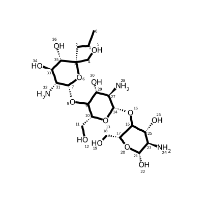 CCC[C@]1(CO)O[C@H](OC2[C@@H](CO)O[C@@H](OC3[C@@H](CO)O[C@@H](O)[C@H](N)[C@H]3O)[C@H](N)[C@H]2O)[C@H](N)[C@@H](O)[C@@H]1O